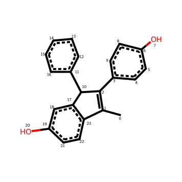 CC1=C(c2ccc(O)cc2)C(c2ccccc2)c2cc(O)ccc21